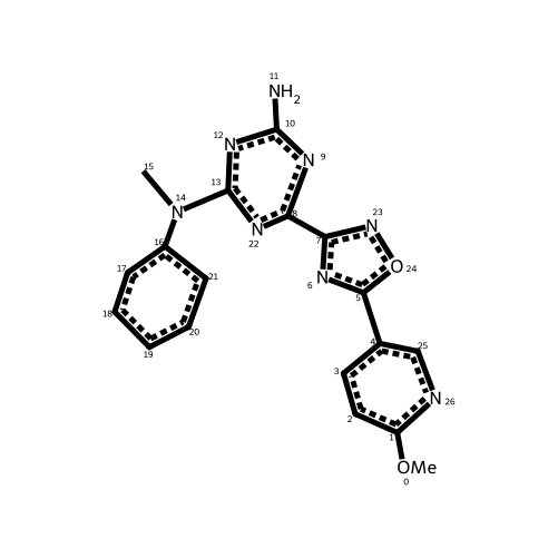 COc1ccc(-c2nc(-c3nc(N)nc(N(C)c4ccccc4)n3)no2)cn1